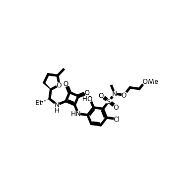 CC[C@@H](Nc1c(Nc2ccc(Cl)c(S(=O)(=O)N(C)OCCOC)c2O)c(=O)c1=O)[C@H]1CCC(C)O1